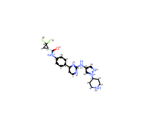 O=C(Nc1ccc(-c2ccnc(Nc3cnn(C4CCNCC4)c3)n2)cc1)[C@@H]1CC1(F)F